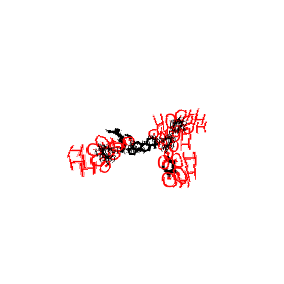 CCO[C@@H]1CC2[C@@]3(C)C[C@@H](O)[C@H](O[C@@H]4O[C@H](COC5OCC(O)C(O)C5O)[C@@H](O)[C@H](O)[C@H]4O[C@@H]4O[C@H](CO)[C@@H](O)[C@H](O)[C@H]4O)C(C)(C)C3CC[C@@]2(C)[C@]2(C)CC[C@H](C(C)(CCC=C(C)C)O[C@@H]3O[C@H](CO)[C@@H](O)[C@H](O)[C@H]3O)[C@@]12C